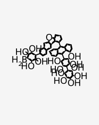 Bc1c(O)c(O)c(-c2ccc3cc4c(cc3c2)oc2cccc(-c3c5ccccc5c(-c5c(O)c(O)c(-c6c(O)c(O)c(O)c(O)c6O)c(O)c5O)c5ccccc35)c24)c(O)c1O